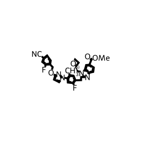 COC(=O)c1ccc2nc(Cc3cc(C)c(-n4ccc(OCc5ccc(C#N)cc5F)n4)cc3F)n(C[C@@H]3CCO3)c2c1